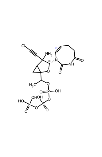 CC(OP(=O)(O)OP(=O)(O)OP(=O)(O)O)C12CC1C(N)(C#CCl)[C@H](N1/C=C\CCC(=O)NC1=O)O2